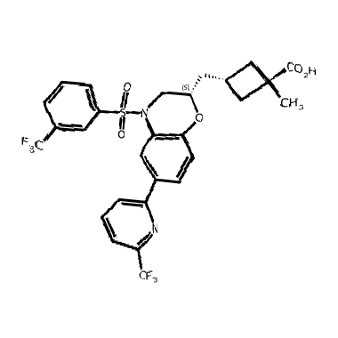 C[C@]1(C(=O)O)C[C@H](C[C@H]2CN(S(=O)(=O)c3cccc(C(F)(F)F)c3)c3cc(-c4cccc(C(F)(F)F)n4)ccc3O2)C1